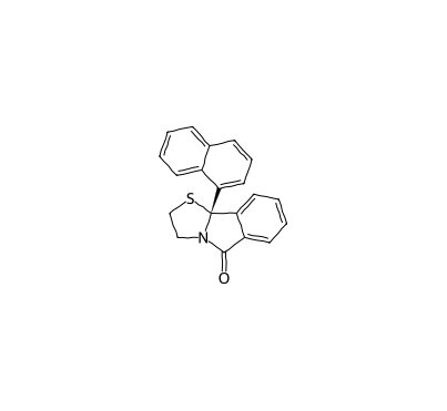 O=C1c2ccccc2[C@@]2(c3cccc4ccccc34)SCCN12